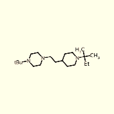 CCC(C)(C)N1CCC(CCN2CCN(C(C)(C)C)CC2)CC1